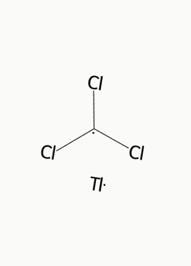 Cl[C](Cl)Cl.[Tl]